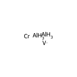 [AlH3].[AlH3].[Cr].[V]